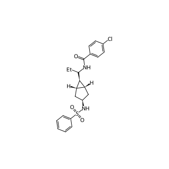 CCC(NC(=O)c1ccc(Cl)cc1)[C@H]1[C@@H]2C[C@@H](NS(=O)(=O)c3ccccc3)C[C@@H]21